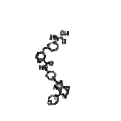 O=C(O)N[C@@H]1CCCN(Cc2ccnc(C(=O)NC3CCN(c4nc5c(N6CCOCC6)ncnc5s4)CC3)c2)C1